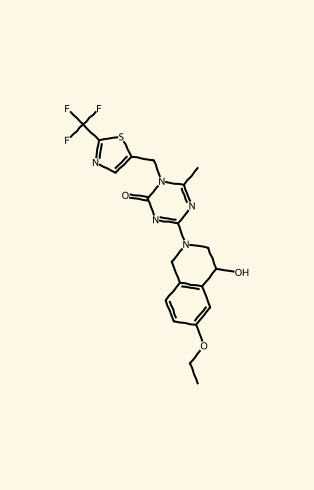 CCOc1ccc2c(c1)C(O)CN(c1nc(C)n(Cc3cnc(C(F)(F)F)s3)c(=O)n1)C2